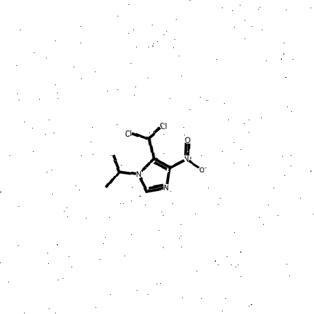 CC(C)n1cnc([N+](=O)[O-])c1C(Cl)Cl